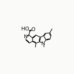 Cc1ccc2c(c1)c1cc3c(C(=O)O)nccc3c(C)c1n2C